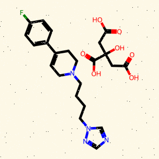 Fc1ccc(C2=CCN(CCCCn3cncn3)CC2)cc1.O=C(O)CC(O)(CC(=O)O)C(=O)O